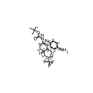 CC(C)(C)OC(=O)NC1=N[C@@]2(c3cc(N)ccc3F)CO[C@@H](C(F)(F)F)C[C@H]2CS1